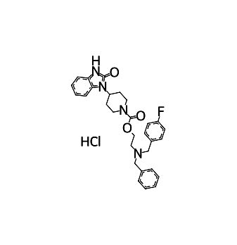 Cl.O=C(OCCN(Cc1ccccc1)Cc1ccc(F)cc1)N1CCC(n2c(=O)[nH]c3ccccc32)CC1